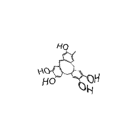 Cc1cc2c(cc1O)Cc1cc(O)c(O)cc1Cc1cc(O)c(O)cc1C2